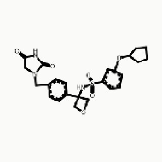 O=C1CN(Cc2ccc(C3(NS(=O)(=O)c4cccc(OC5CCCC5)c4)COC3)cc2)C(=O)N1